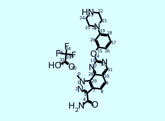 Cn1nc(C(N)=O)c2ccc3cnc(Oc4cccc(N5CCNCC5)c4)nc3c21.O=C(O)C(F)(F)F